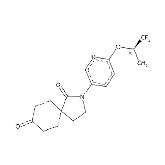 C[C@@H](Oc1ccc(N2CCC3(CCC(=O)CC3)C2=O)cn1)C(F)(F)F